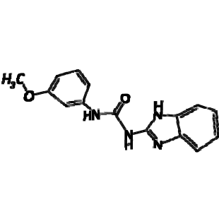 COc1cccc(NC(=O)Nc2nc3ccccc3[nH]2)c1